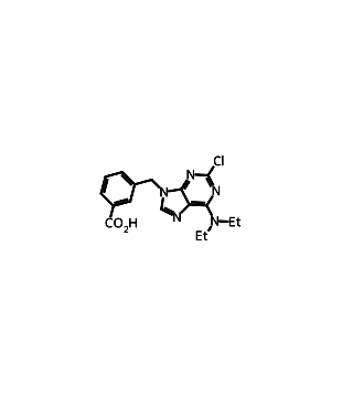 CCN(CC)c1nc(Cl)nc2c1ncn2Cc1cccc(C(=O)O)c1